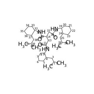 CC(C)CC1CCCCC1NC(=O)CC(CC(=O)NC1CCCCC1CC(C)C)C(=O)NC1CCCCC1CC(C)C